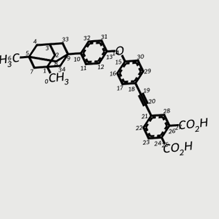 CC12CC3CC(C)(C1)CC(c1ccc(Oc4ccc(C#Cc5ccc(C(=O)O)c(C(=O)O)c5)cc4)cc1)(C3)C2